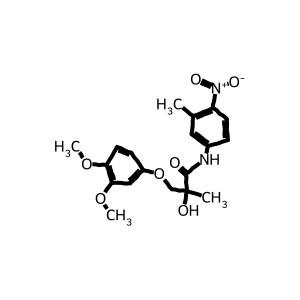 COc1ccc(OCC(C)(O)C(=O)Nc2ccc([N+](=O)[O-])c(C)c2)cc1OC